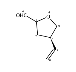 C=C[C@@H]1COC(C=O)C1